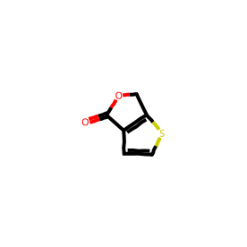 O=C1OCc2sccc21